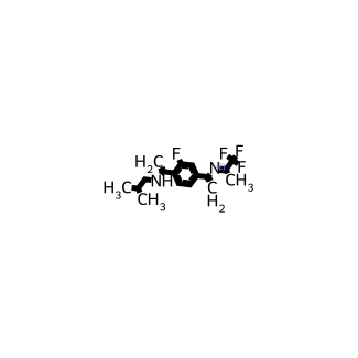 C=C(/N=C(\C)C(F)(F)F)c1ccc(C(=C)NCC(C)C)c(F)c1